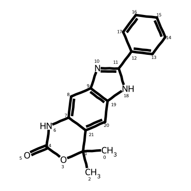 CC1(C)OC(=O)Nc2cc3nc(-c4ccccc4)[nH]c3cc21